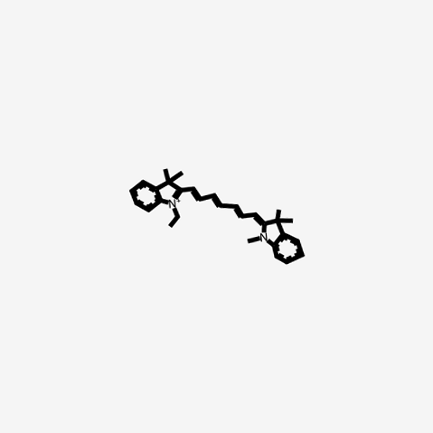 CC[N+]1=C(/C=C/C=C/C=C/C=C2\N(C)c3ccccc3C2(C)C)C(C)(C)c2ccccc21